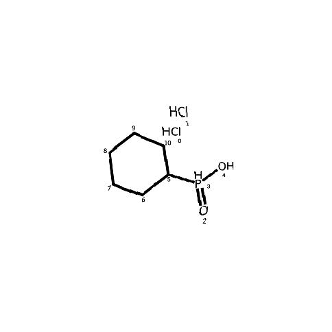 Cl.Cl.O=[PH](O)C1CCCCC1